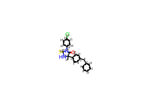 CC1(c2ccc(Cc3ccccc3)cc2)NC(=S)N(c2ccc(Cl)cc2)C1=O